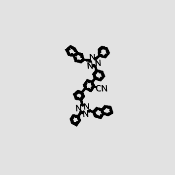 N#Cc1cc(-c2cccc(-c3nc(-c4ccccc4)nc(-c4ccc5ccccc5c4)n3)c2)ccc1-c1cccc(-c2nc(-c3ccccc3)nc(-c3ccc4ccccc4c3)n2)c1